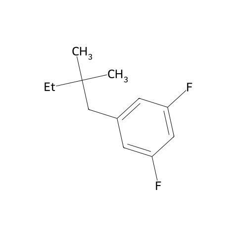 CCC(C)(C)Cc1cc(F)cc(F)c1